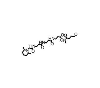 CC1CCCC(C)N1CC(=O)NCCC(=O)NCCC(=O)NCCC(=O)ON(C)C(=O)CCC=O